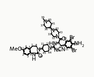 COc1ccc2c(c1)CCN(C1CCN(C(=NC#N)N[C@H](Cc3cc(Br)c(N)c(Br)c3)C(=O)N3CCN(C4CCN(C)CC4)CC3)CC1)C(=O)N2